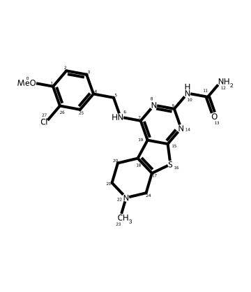 COc1ccc(CNc2nc(NC(N)=O)nc3sc4c(c23)CCN(C)C4)cc1Cl